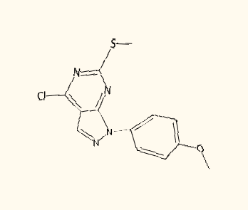 COc1ccc(-n2ncc3c(Cl)nc(SC)nc32)cc1